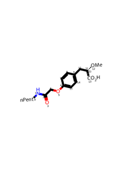 CCCCCNC(=O)COc1ccc(C[C@H](OC)C(=O)O)cc1